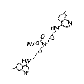 COC(=O)N(CCOCCNc1ccnc2cc(C)ccc12)CCOCCNc1ccnc2cc(C)ccc12